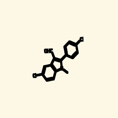 Cn1c(-c2ccc(Cl)cc2)c(C=O)c2cc(Cl)ccc21